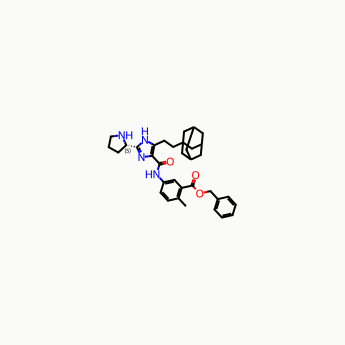 Cc1ccc(NC(=O)c2nc([C@@H]3CCCN3)[nH]c2CCC23CC4CC(CC(C4)C2)C3)cc1C(=O)OCc1ccccc1